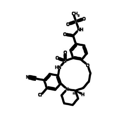 CS(=O)(=O)NC(=O)c1ccc2c(c1)S(=O)(=O)Nc1cc(C#N)c(Cl)cc1N1CCCC[C@H]1CCCO2